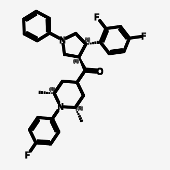 C[C@@H]1CC(C(=O)[C@H]2CN(c3ccccc3)C[C@@H]2c2ccc(F)cc2F)C[C@H](C)N1c1ccc(F)cc1